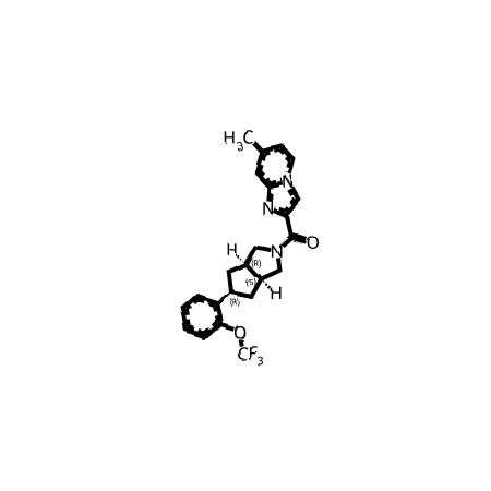 Cc1ccn2cc(C(=O)N3C[C@H]4C[C@@H](c5ccccc5OC(F)(F)F)C[C@H]4C3)nc2c1